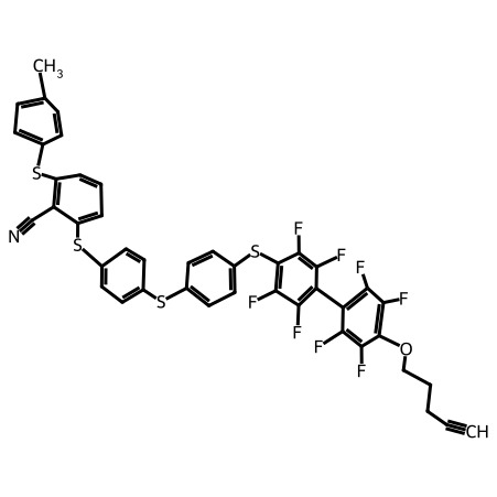 C#CCCCOc1c(F)c(F)c(-c2c(F)c(F)c(Sc3ccc(Sc4ccc(Sc5cccc(Sc6ccc(C)cc6)c5C#N)cc4)cc3)c(F)c2F)c(F)c1F